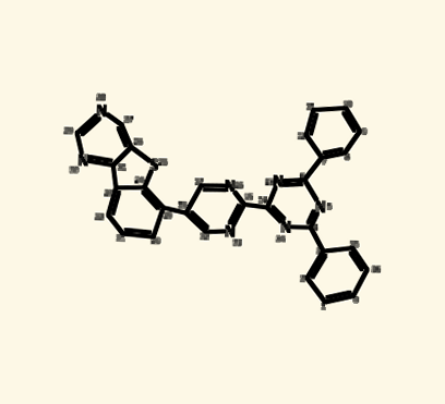 c1ccc(-c2nc(-c3ccccc3)nc(-c3ncc(-c4cccc5c4sc4cncnc45)cn3)n2)cc1